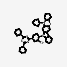 N#Cc1cc(-c2nc(-c3ccccc3)nc(-c3ccccc3)n2)ccc1-n1c2ccccc2c2cc3c(cc21)N(c1ccccc1)c1ccccc1O3